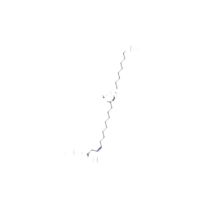 CCCCCCCCCCCCCCCCCCOCC(CCCCCCCC/C=C\C[C@H](O)CCCCCC)OC(=O)O